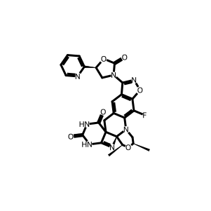 C[C@@H]1CN2c3c(cc4c(N5C[C@@H](c6ccccn6)OC5=O)noc4c3F)CC34C(=O)NC(=O)NC3=N[C@]24[C@H](C)O1